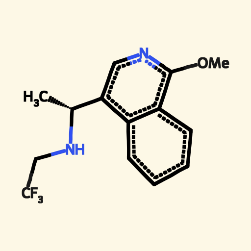 COc1ncc([C@@H](C)NCC(F)(F)F)c2ccccc12